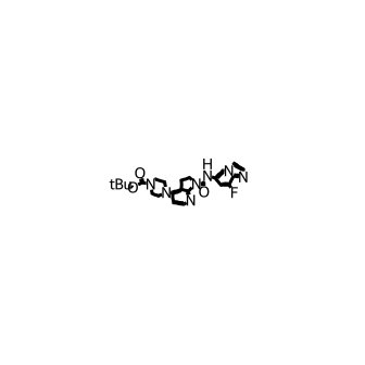 CC(C)(C)OC(=O)N1CCN(c2ccnc3c2CCN3C(=O)Nc2cc(F)c3nccn3c2)CC1